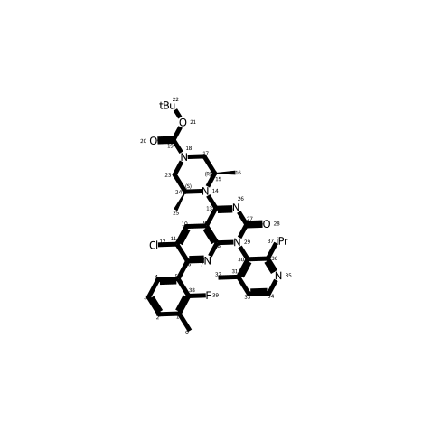 Cc1cccc(-c2nc3c(cc2Cl)c(N2[C@H](C)CN(C(=O)OC(C)(C)C)C[C@@H]2C)nc(=O)n3-c2c(C)ccnc2C(C)C)c1F